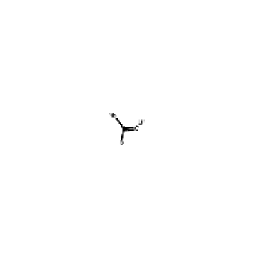 O=[C]([O-])[Nb].[Li+]